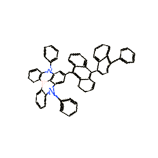 C1=CC2=C(CC1)B1c3ccccc3N(c3ccccc3)c3cc(-c4c5c(c(-c6ccc(-c7ccccc7)c7ccccc67)c6ccccc46)C=CCC5)cc(c31)N2c1ccccc1